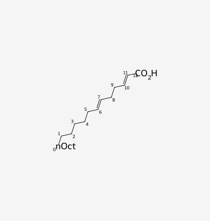 CCCCCCCCCCCCCC=CCCC=CC(=O)O